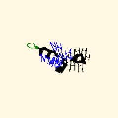 N=C(/N=C(/N[C@H]1[C@@H]2CC[C@@H]([C@@H]3C[C@@H]32)[C@@H]1C(=O)O)c1ccc[nH]1)C(=N)c1cc(Cl)cnc1N